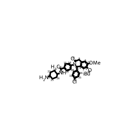 CCC(C)Oc1cc2c(cc1OC)CC(=O)N(c1ccc(C(C)NC3CCC(N)CC3)cc1)C2c1ccc(Cl)cc1